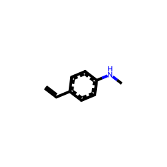 C=Cc1ccc(NC)cc1